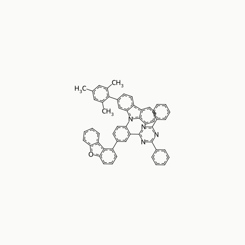 Cc1cc(C)c(-c2ccc3c4ccccc4n(-c4ccc(-c5cccc6oc7ccccc7c56)cc4-c4nc(-c5ccccc5)nc(-c5ccccc5)n4)c3c2)c(C)c1